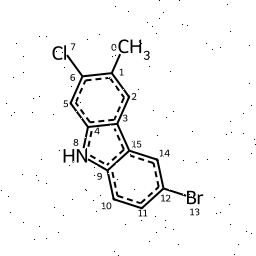 Cc1cc2c(cc1Cl)[nH]c1ccc(Br)cc12